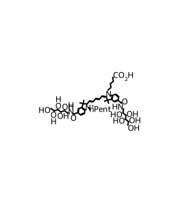 CCCCC[N+]1=C(/C=C/C=C/C=C2/N(CCCCCC(=O)O)c3ccc(C(=O)NCC(O)C(O)C(O)C(O)CO)cc3C2(C)C)C(C)(C)c2cc(C(=O)NCC(O)C(O)C(O)C(O)CO)ccc21